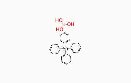 OB(O)O.c1cc[c]([Sn]([c]2ccccc2)([c]2ccccc2)[c]2ccccc2)cc1